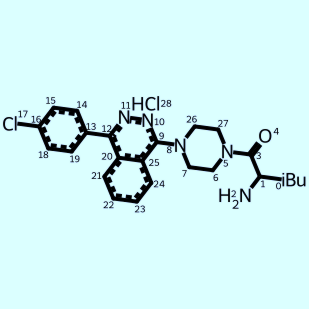 CCC(C)C(N)C(=O)N1CCN(c2nnc(-c3ccc(Cl)cc3)c3ccccc23)CC1.Cl